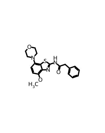 COc1ccc(N2CCOCC2)c2sc(NC(=O)Cc3ccccc3)nc12